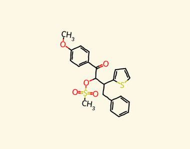 COc1ccc(C(=O)C(OS(C)(=O)=O)C(Cc2ccccc2)c2cccs2)cc1